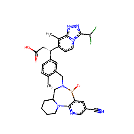 Cc1ccc([C@H](CC(=O)O)c2ccn3c(C(F)F)nnc3c2C)cc1CN1CC2CCCCN2c2ncc(C#N)cc2[S+]1[O-]